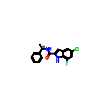 C[C@@H](NC(=O)c1cc2cc(Cl)cc(F)c2[nH]1)c1ccccc1